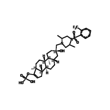 CC1CN(S(=O)(=O)c2ccccc2C(F)(F)F)C(C)CN1C[C@@]1(O)CC[C@@]2(C)[C@@H](CC[C@@H]3[C@@H]2CC[C@]2(C)C(OP(=O)(O)O)=CC[C@@H]32)C1